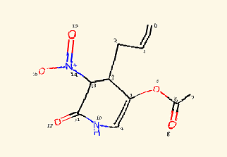 C=CCC1C(OC(C)=O)=CNC(=O)C1[N+](=O)[O-]